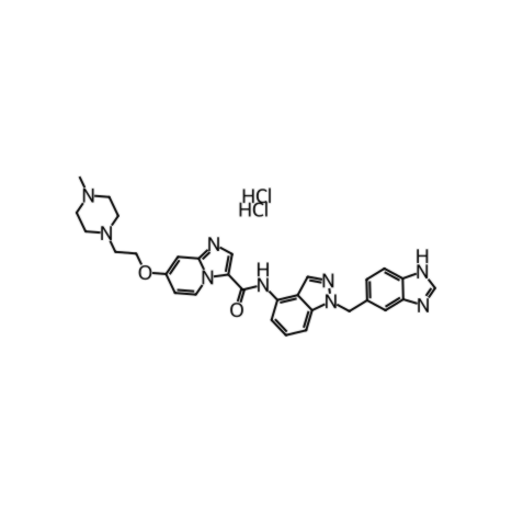 CN1CCN(CCOc2ccn3c(C(=O)Nc4cccc5c4cnn5Cc4ccc5[nH]cnc5c4)cnc3c2)CC1.Cl.Cl